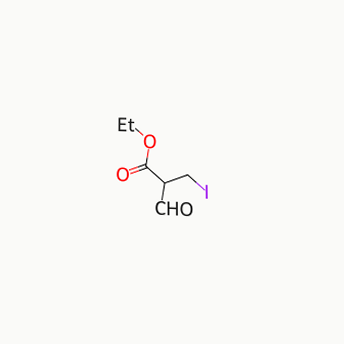 CCOC(=O)C(C=O)CI